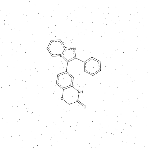 O=C1COc2ccc(-c3c(-c4ccccc4)nc4ccccn34)cc2N1